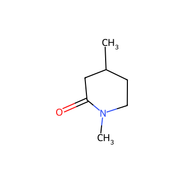 CC1CCN(C)C(=O)C1